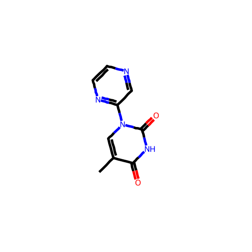 Cc1cn(-c2cnccn2)c(=O)[nH]c1=O